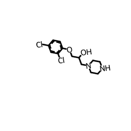 OC(COc1ccc(Cl)cc1Cl)CN1CCNCC1